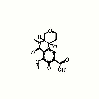 COc1c2n(cc(C(=O)O)c1=O)[C@H]1CCOC[C@H]1N(C)C2=O